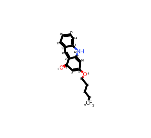 O=c1cc(OCCCCC(F)(F)F)cc2[nH]c3ccccc3cc1-2